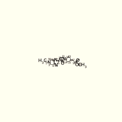 CCN1CCc2ncc(-n3ccn([C@H]4CC[C@H](CCC(=O)OC)CC4)c3=O)nc2CC1